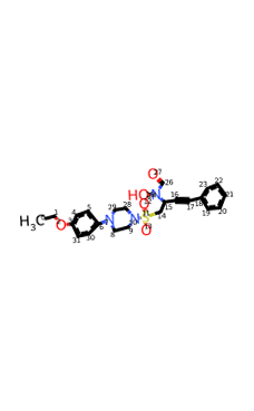 CCOc1ccc(N2CCN(S(=O)(=O)CC(C#Cc3ccccc3)N(O)C=O)CC2)cc1